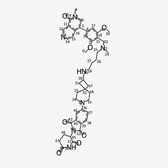 COc1cc(-c2cn(C)c(=O)c3cnccc23)cc(OC)c1CN(C)CCCCNC1CC2(CCN(c3ccc4c(c3)C(=O)N(C3CCC(=O)NC3=O)C4=O)CC2)C1